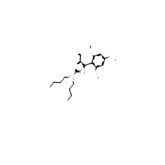 CCCCN(CCCC)c1nc(-c2c(OC)cc(OC)cc2OC)c(C=O)s1